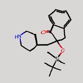 CC(C)(C)[Si](C)(C)OC1(CC2CCNCC2)Cc2ccccc2C1=O